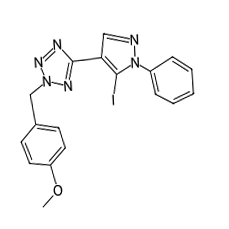 COc1ccc(Cn2nnc(-c3cnn(-c4ccccc4)c3I)n2)cc1